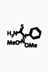 CON(OC)N(C(N)=S)c1ccccc1